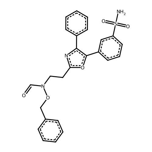 NS(=O)(=O)c1cccc(-c2oc(CCN(C=O)OCc3ccccc3)nc2-c2ccccc2)c1